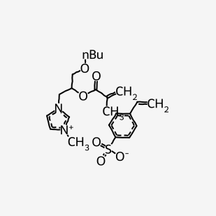 C=C(C)C(=O)OC(COCCCC)Cn1cc[n+](C)c1.C=Cc1ccc(S(=O)(=O)[O-])cc1